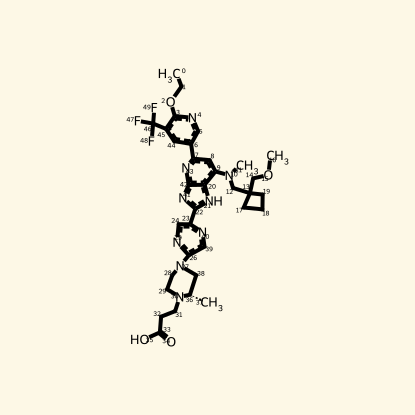 CCOc1ncc(-c2cc(N(C)CC3(COC)CCC3)c3[nH]c(-c4cnc(N5CCN(CCC(=O)O)[C@@H](C)C5)cn4)nc3n2)cc1C(F)(F)F